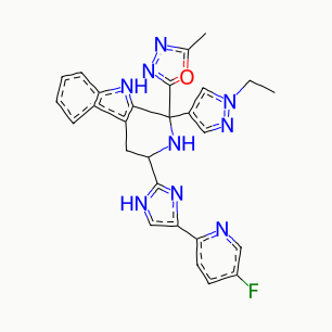 CCn1cc(C2(c3nnc(C)o3)NC(c3nc(-c4ccc(F)cn4)c[nH]3)Cc3c2[nH]c2ccccc32)cn1